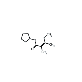 CCC(C)=C(C)C(=O)OC1CCCC1